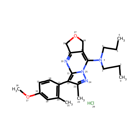 CCCN(CCC)c1c2c(nc3c(-c4ccc(OC)cc4C)c(C)nn13)COC2.Cl